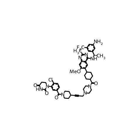 COc1cc2nc(C)nc(N[C@H](C)c3cc(N)cc(C(F)(F)F)c3)c2cc1C1CCC(C(=O)N2CCN(CC#CC3CCN(C(=O)c4ccc(Cl)c(N5CCC(=O)NC5=O)c4)CC3)CC2)CC1